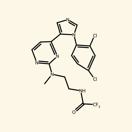 CN(CCNC(=O)C(F)(F)F)c1nccc(-c2cncn2-c2ccc(Cl)cc2Cl)n1